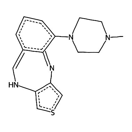 CN1CCN(c2cccc3c2=Nc2cscc2NC=3)CC1